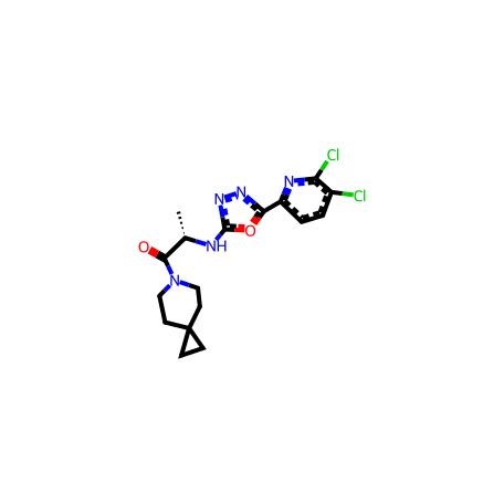 C[C@H](Nc1nnc(-c2ccc(Cl)c(Cl)n2)o1)C(=O)N1CCC2(CC1)CC2